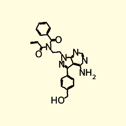 C=CC(=O)N(CCn1nc(-c2ccc(CO)cc2)c2c(N)ncnc21)C(=O)c1ccccc1